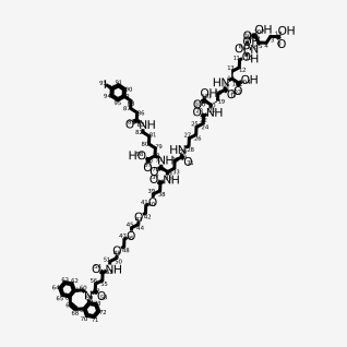 O=C(O)CCC(NP(=O)(O)OCCC[C@H](NC(=O)CC[C@H](NC(=O)CCCCCNC(=O)CCC(NC(=O)CCOCCOCCOCCOCCNC(=O)CCC(=O)N1Cc2ccccc2C#Cc2ccccc21)C(=O)NC(CCCCNC(=O)CCCc1ccc(I)cc1)C(=O)O)C(=O)O)C(=O)O)C(=O)O